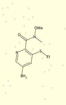 Bc1cnc(C(=O)N(C)OC)c(SCC)c1